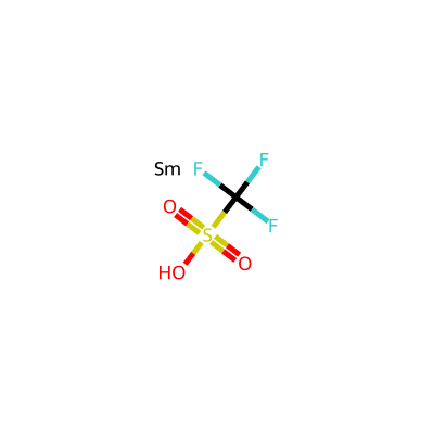 O=S(=O)(O)C(F)(F)F.[Sm]